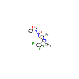 Cc1nn2c(C(C)C)c(C(=O)NN3CCOc4ccccc43)sc2c1-c1cc(F)cc(F)c1F